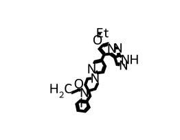 C=CC(=O)NC1(Cc2ccccc2)CCN(c2ccc(-c3cc(OCC)cn4nc5[nH]ncc5c34)cn2)CC1